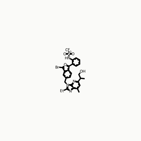 CCc1nc2c(C)cc(C(C)CO)nc2n1Cc1ccc2c(-c3ccccc3NS(=O)(=O)C(F)(F)F)oc(Br)c2c1